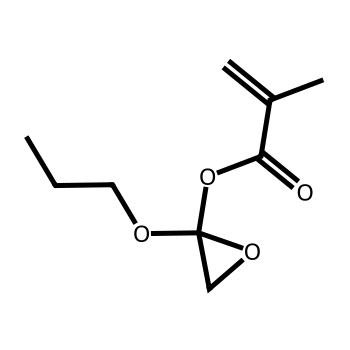 C=C(C)C(=O)OC1(OCCC)CO1